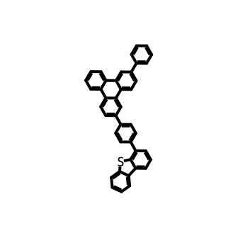 c1ccc(-c2ccc3c(c2)c2ccccc2c2ccc(-c4ccc(-c5cccc6c5sc5ccccc56)cc4)cc23)cc1